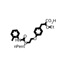 CCCCCN(CCOc1ccc(CC(OCC)C(=O)O)cc1)C(=O)Nc1ccccc1C